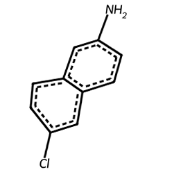 Nc1ccc2cc(Cl)ccc2c1